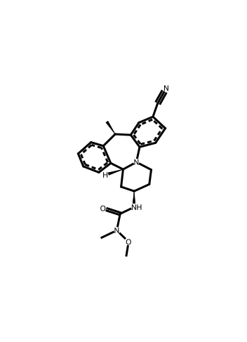 CON(C)C(=O)N[C@@H]1CCN2c3ccc(C#N)cc3[C@H](C)c3ccccc3[C@H]2C1